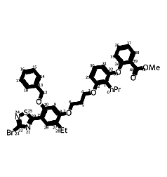 CCCc1c(OCCCOc2cc(OCc3ccccc3)c(-c3nc(Br)ns3)cc2CC)cccc1Oc1ccccc1C(=O)OC